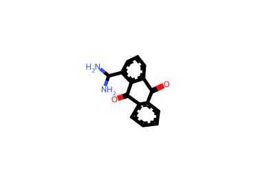 NC(N)c1cccc2c1C(=O)c1ccccc1C2=O